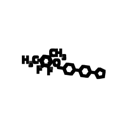 Cc1cc(C)c(OCC2CCC(C3CCC(C4CCCC4)CC3)CC2)c(F)c1F